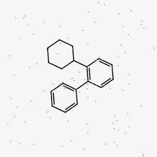 [c]1cccc(-c2ccccc2)c1C1CCCCC1